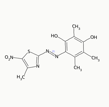 Cc1nc(/N=N/c2c(C)c(C)c(O)c(C)c2O)sc1[N+](=O)[O-]